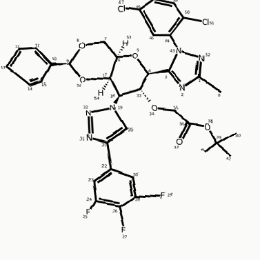 Cc1nc([C@@H]2O[C@@H]3CO[C@H](c4ccccc4)O[C@@H]3[C@H](n3cc(-c4cc(F)c(F)c(F)c4)nn3)[C@H]2OCC(=O)OC(C)(C)C)n(-c2cc(Cl)ccc2Cl)n1